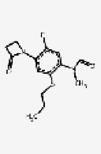 CCCSc1cc(N2CCC2=O)c(F)cc1N(C)C=O